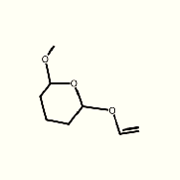 C=COC1CCCC(OC)O1